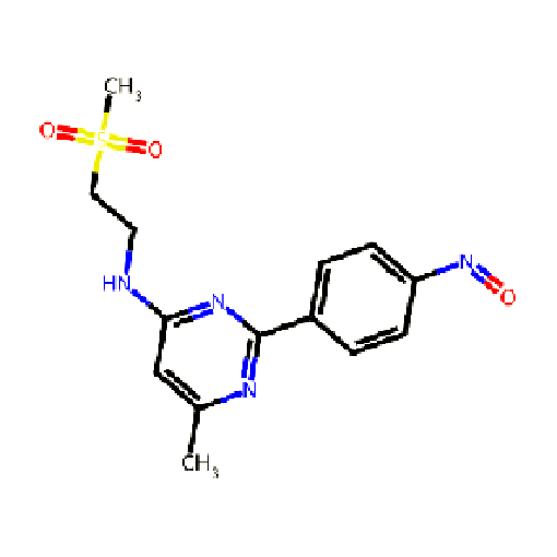 Cc1cc(NCCS(C)(=O)=O)nc(-c2ccc(N=O)cc2)n1